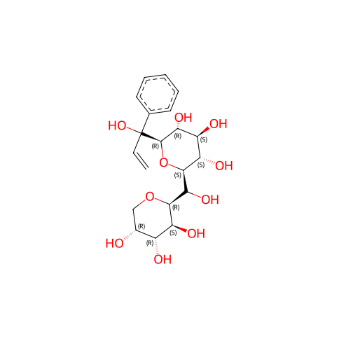 C=CC(O)(c1ccccc1)[C@@H]1O[C@H](C(O)[C@@H]2OC[C@@H](O)[C@@H](O)[C@@H]2O)[C@@H](O)[C@H](O)[C@H]1O